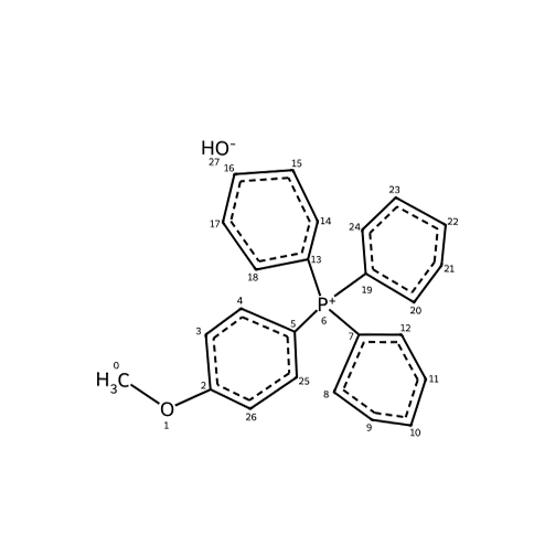 COc1ccc([P+](c2ccccc2)(c2ccccc2)c2ccccc2)cc1.[OH-]